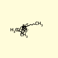 CCCCCCSc1nnc([N+]2([O-])CN(C)C(COC)C2O)s1